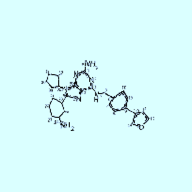 Nc1nc(NCc2ccc(-c3ccoc3)cc2)c2nc(C3CCCC(N)C3)n(C3CCCC3)c2n1